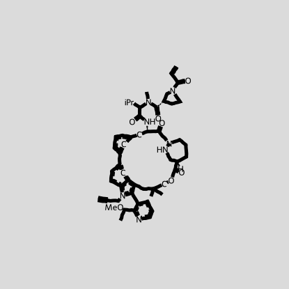 C#CCn1c(-c2cccnc2[C@H](C)OC)c2c3cc(ccc31)-c1cccc(c1)C[C@H](NC(=O)C(C(C)C)N(C)C(=O)[C@H]1CCN(C(=O)C=C)C1)C(=O)N1CCC[C@H](CN1)C(=O)OCC(C)(C)C2